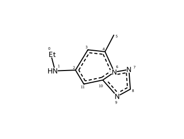 CCNc1cc(C)n2ncnc2c1